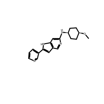 CO[C@H]1CC[C@@H](Nc2cc3[nH]c(-c4cccnc4)cc3cn2)CC1